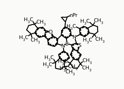 CCCC1CC1c1cc2c3c(c1)N(c1cc4c(cc1C)C(C)(C)CCC4(C)C)c1sc4cc5c(cc4c1B3N(c1ccc3c(c1)C(C)(C)CCC3(C)C)c1ccc3c(oc4cc6c(cc43)C(C)(C)CCC6(C)C)c1-2)C(C)(C)CCC5(C)C